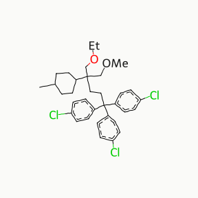 CCOCC(CCC(c1ccc(Cl)cc1)(c1ccc(Cl)cc1)c1ccc(Cl)cc1)(COC)C1CCC(C)CC1